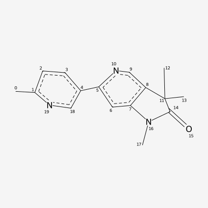 Cc1ccc(-c2cc3c(cn2)C(C)(C)C(=O)N3C)cn1